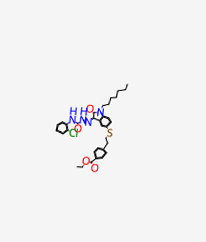 CCCCCCCN1C(=O)/C(=N\NC(=O)Nc2ccccc2Cl)c2cc(SCCc3ccc(C(=O)OCC)cc3)ccc21